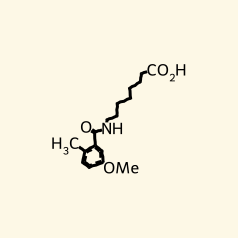 COc1ccc(C)c(C(=O)NCCCCCCCC(=O)O)c1